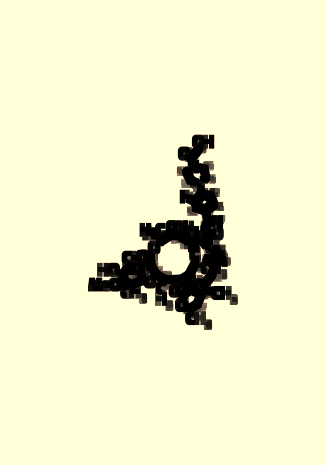 CC[C@H]1OC(=O)[C@H](C)[C@@H](O[C@H]2C[C@@](C)(OC)[C@@H](O)[C@H](C)O2)[C@H](C)[C@@H](O[C@@H]2O[C@H](C)C[C@H](N(C)CCc3cn(C[C@H]4CC(c5ccc(N6CCN(C(=O)CO)CC6)c(F)c5)=NO4)nn3)[C@H]2O)[C@](C)(O)C[C@@H](C)CN(C)[C@H](C)[C@@H](O)[C@]1(C)O